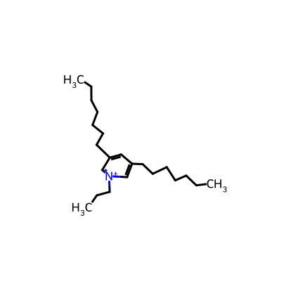 CCCCCCCc1cc(CCCCCCC)c[n+](CCC)c1